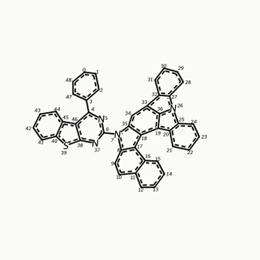 c1ccc(-c2nc(-n3c4ccc5ccccc5c4c4c5c6ccccc6n6c7ccccc7c(cc43)c56)nc3sc4ccccc4c23)cc1